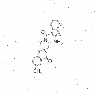 Cc1ccc2c(c1)C(=O)CC1(CCN(C(=O)c3c(N)sc4ncccc34)CC1)S2